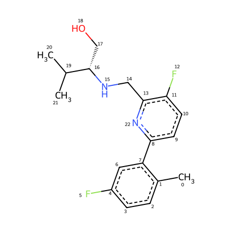 Cc1ccc(F)cc1-c1ccc(F)c(CN[C@@H](CO)C(C)C)n1